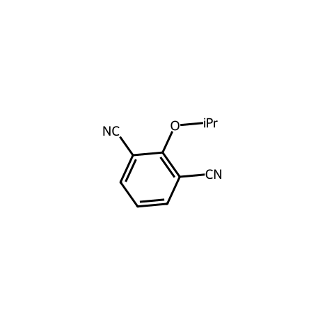 CC(C)Oc1c(C#N)cccc1C#N